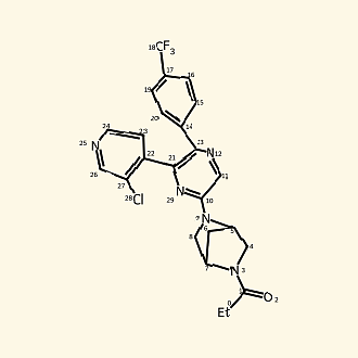 CCC(=O)N1CC2CC1CN2c1cnc(-c2ccc(C(F)(F)F)cc2)c(-c2ccncc2Cl)n1